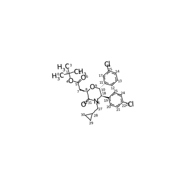 CC(C)(C)OC(=O)C[C@H]1O[C@H](c2cccc(Cl)c2)[C@@H](c2ccc(Cl)cc2)N(CC2CC2)C1=O